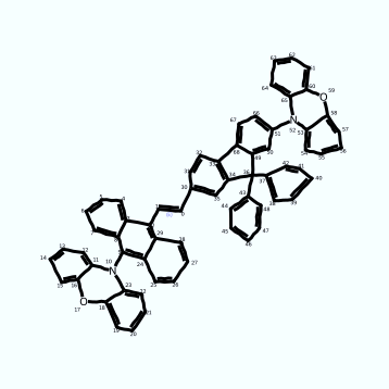 C(=C\c1c2ccccc2c(N2c3ccccc3Oc3ccccc32)c2ccccc12)/c1ccc2c(c1)C(c1ccccc1)(c1ccccc1)c1cc(N3c4ccccc4Oc4ccccc43)ccc1-2